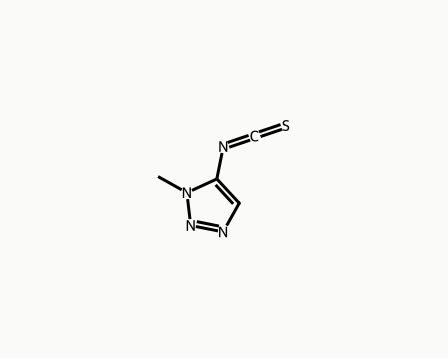 Cn1nncc1N=C=S